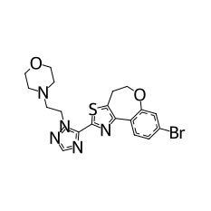 Brc1ccc2c(c1)OCCc1sc(-c3ncnn3CCN3CCOCC3)nc1-2